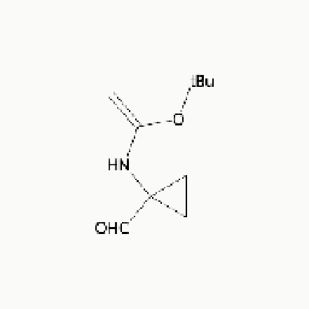 C=C(NC1(C=O)CC1)OC(C)(C)C